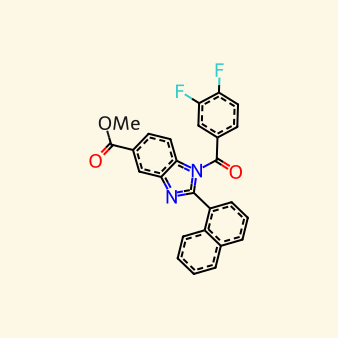 COC(=O)c1ccc2c(c1)nc(-c1cccc3ccccc13)n2C(=O)c1ccc(F)c(F)c1